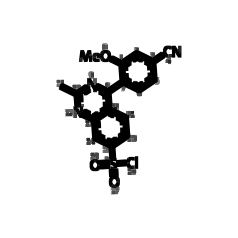 COc1cc(C#N)ccc1-c1nc(C)nc2cc(S(=O)(=O)Cl)ccc12